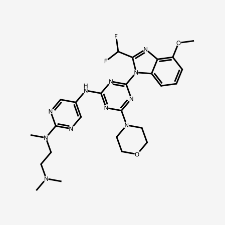 COc1cccc2c1nc(C(F)F)n2-c1nc(Nc2cnc(N(C)CCN(C)C)nc2)nc(N2CCOCC2)n1